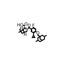 CC1CC2CC(C)CC(COc3cc(F)c(C(=O)N4C[C@@H]5CC(C)(C)[C@@H]5[C@H]4C(=O)O)cc3C3CC3)(C1)C2